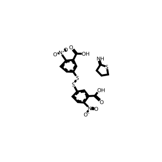 N=C1CCCS1.O=C(O)c1cc(SSc2ccc([N+](=O)[O-])c(C(=O)O)c2)ccc1[N+](=O)[O-]